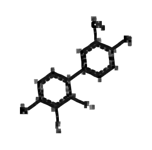 CCc1ccc(-c2ccc(CC)c(F)c2F)cc1C